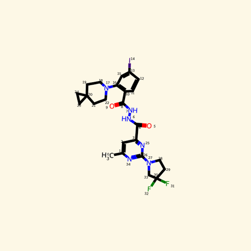 Cc1cc(C(=O)NNC(=O)c2ccc(I)cc2N2CCC3(CC2)CC3)nc(N2CCC(F)(F)C2)n1